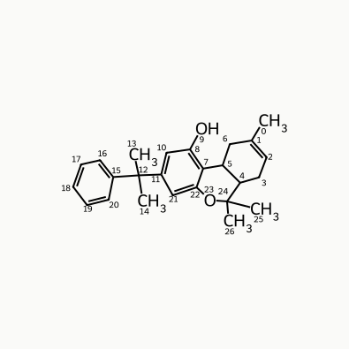 CC1=CCC2C(C1)c1c(O)cc(C(C)(C)c3ccccc3)cc1OC2(C)C